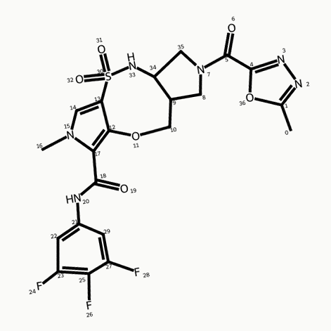 Cc1nnc(C(=O)N2CC3COc4c(cn(C)c4C(=O)Nc4cc(F)c(F)c(F)c4)S(=O)(=O)NC3C2)o1